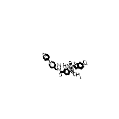 COc1ccc(C(=O)NCC2CCN(c3ccncc3)CC2)cc1NS(=O)(=O)c1cc2ccc(Cl)cc2s1